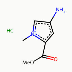 COC(=O)c1cc(N)cn1C.Cl